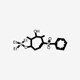 CC[Si](CC)(CC)OC1CC=C(S(=O)(=O)c2ccccc2)C(C)C(O)C1C